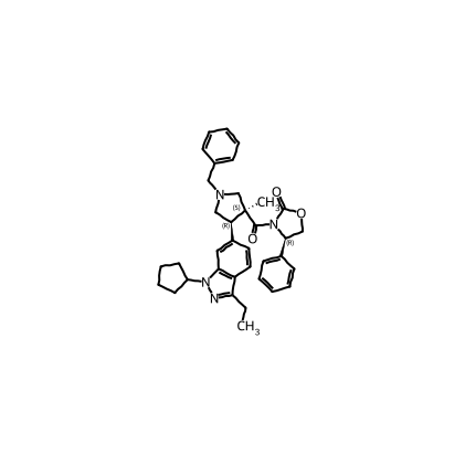 CCc1nn(C2CCCC2)c2cc([C@H]3CN(Cc4ccccc4)C[C@@]3(C)C(=O)N3C(=O)OC[C@H]3c3ccccc3)ccc12